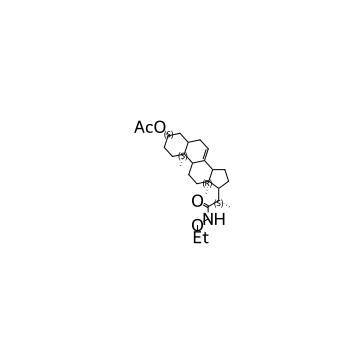 CCONC(=O)[C@@H](C)C1CCC2C3=CCC4C[C@@H](OC(C)=O)CC[C@]4(C)C3CC[C@@]21C